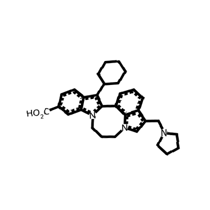 O=C(O)c1ccc2c(C3CCCCC3)c3n(c2c1)CCCn1cc(CN2CCCC2)c2cccc-3c21